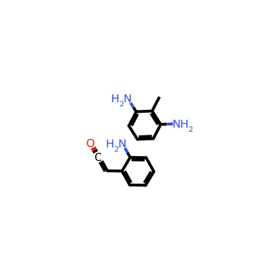 Cc1c(N)cccc1N.Nc1ccccc1C=C=O